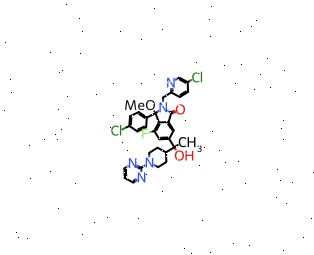 CO[C@]1(c2ccc(Cl)cc2)c2c(F)cc(C(C)(O)C3CCN(c4ncccn4)CC3)cc2C(=O)N1Cc1ccc(Cl)cn1